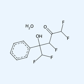 O.O=C(C(F)F)C(F)C(O)(c1ccccc1)C(F)F